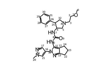 COCCN1CC(NC(=O)Nc2c3c(nn2-c2cnn(C)c2)CCC3)C(c2ccccc2)C1